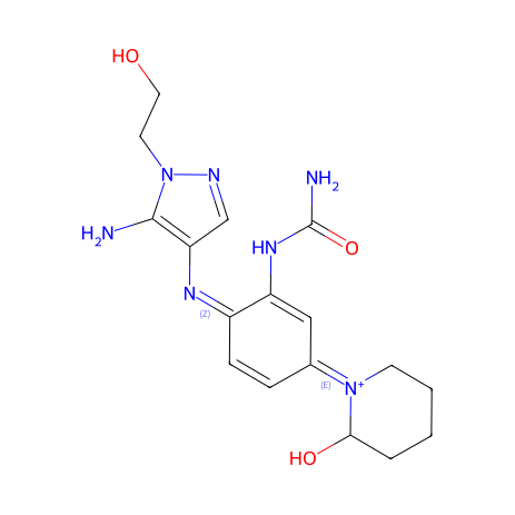 NC(=O)NC1=CC(=[N+]2\CCCCC2O)/C=CC/1=N/c1cnn(CCO)c1N